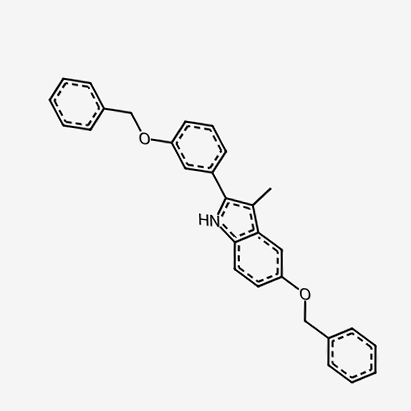 Cc1c(-c2cccc(OCc3ccccc3)c2)[nH]c2ccc(OCc3ccccc3)cc12